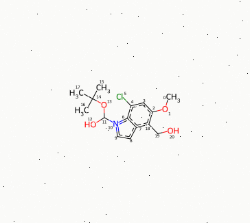 COc1cc(Cl)c2c(ccn2C(O)OC(C)(C)C)c1CO